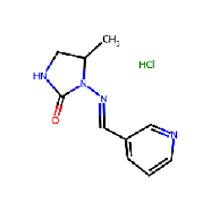 CC1CNC(=O)N1N=Cc1cccnc1.Cl